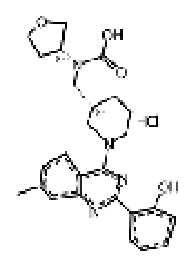 Cc1ccc2c(N3CCC[C@@H](CN(C(=O)O)[C@@H]4CCOC4)C3)nc(-c3ccccc3O)nc2c1.Cl